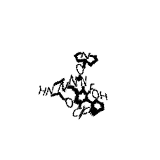 Oc1cccc(F)c1-c1c(Cl)c2c3c(nc(OCC45CCCN4CCC5)nc3c1F)N1CCNCC1CO2